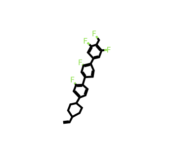 C=CC1CCC(c2ccc(-c3ccc(-c4cc(F)c(CF)c(F)c4)c(F)c3)c(F)c2)CC1